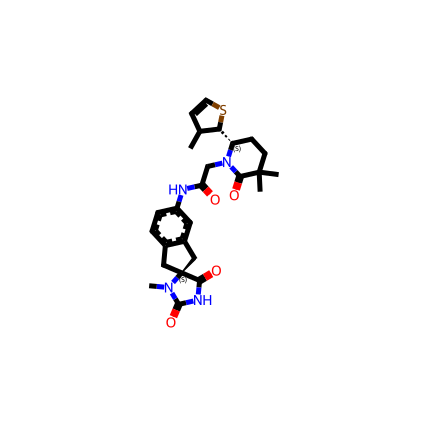 CC1C=CSC1[C@@H]1CCC(C)(C)C(=O)N1CC(=O)Nc1ccc2c(c1)C[C@@]1(C2)C(=O)NC(=O)N1C